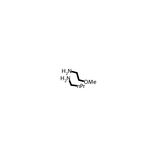 CCCCN.COCCN